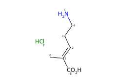 C/C(=C\CCN)C(=O)O.Cl